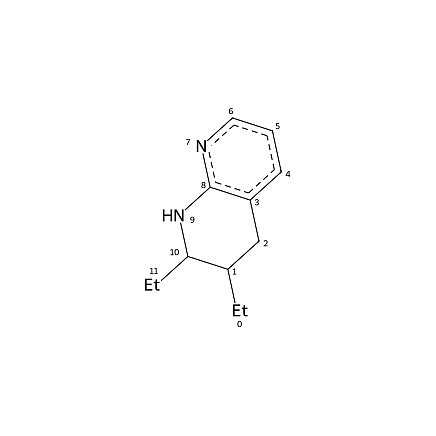 CCC1Cc2cccnc2NC1CC